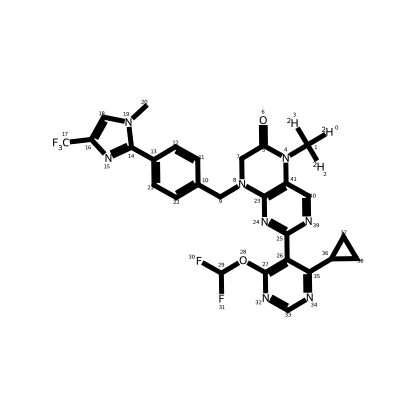 [2H]C([2H])([2H])N1C(=O)CN(Cc2ccc(-c3nc(C(F)(F)F)cn3C)cc2)c2nc(-c3c(OC(F)F)ncnc3C3CC3)ncc21